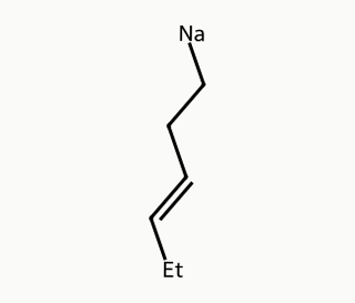 CCC=CC[CH2][Na]